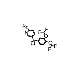 FC(F)Oc1ccc(C(Cl)c2ccc(Br)nc2)cc1OC(F)F